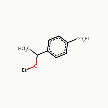 CCOC(=O)c1ccc(C(OCC)C(=O)O)cc1